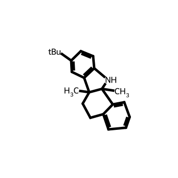 CC(C)(C)c1ccc2c(c1)C1(C)CCc3ccccc3C1(C)N2